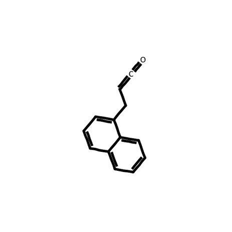 O=C=CCc1cccc2ccccc12